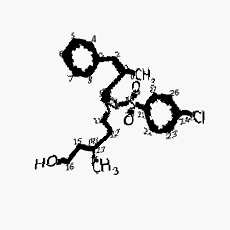 CC(=Cc1ccccc1)CN(CC[C@@H](C)CCO)S(=O)(=O)c1ccc(Cl)cc1